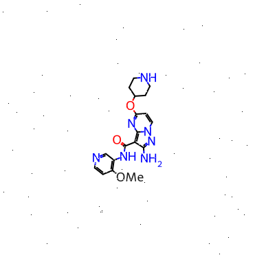 COc1ccncc1NC(=O)c1c(N)nn2ccc(OC3CCNCC3)nc12